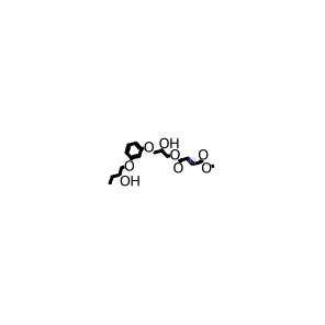 CCC(O)COc1cccc(OCC(O)COC(=O)/C=C/C(=O)OC)c1